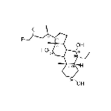 CC[C@H]1[C@@H](O)C2C3CC[C@H]([C@H](C)CC(Cl)CF)[C@@]3(C)[C@@H](O)CC2[C@@]2(C)CC[C@@H](O)C[C@@H]12